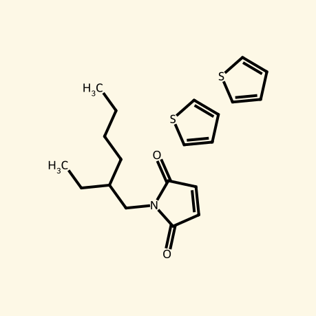 CCCCC(CC)CN1C(=O)C=CC1=O.c1ccsc1.c1ccsc1